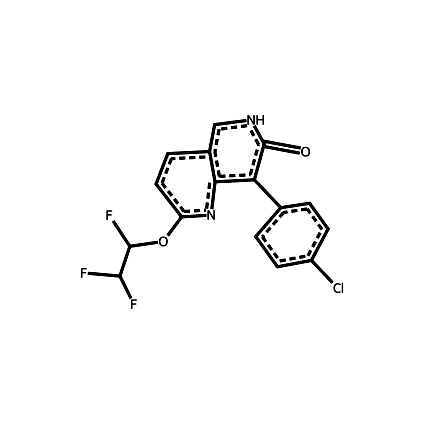 O=c1[nH]cc2ccc(OC(F)C(F)F)nc2c1-c1ccc(Cl)cc1